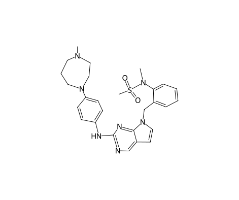 CN1CCCN(c2ccc(Nc3ncc4ccn(Cc5ccccc5N(C)S(C)(=O)=O)c4n3)cc2)CC1